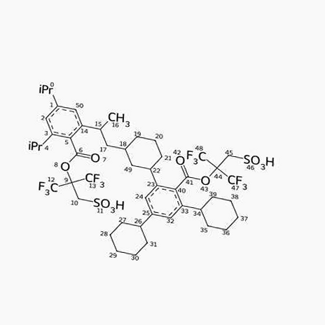 CC(C)c1cc(C(C)C)c(C(=O)OC(CS(=O)(=O)O)(C(F)(F)F)C(F)(F)F)c(C(C)CC2CCCC(c3cc(C4CCCCC4)cc(C4CCCCC4)c3C(=O)OC(CS(=O)(=O)O)(C(F)(F)F)C(F)(F)F)C2)c1